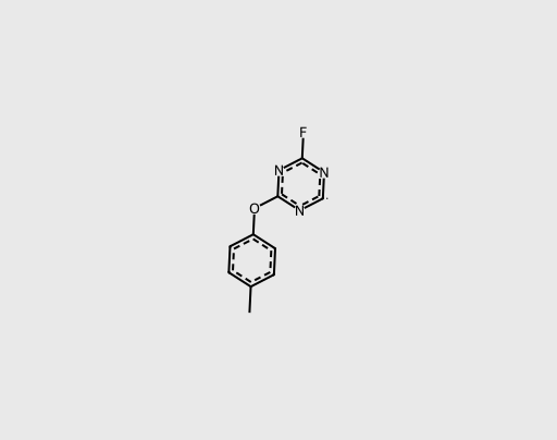 Cc1ccc(Oc2n[c]nc(F)n2)cc1